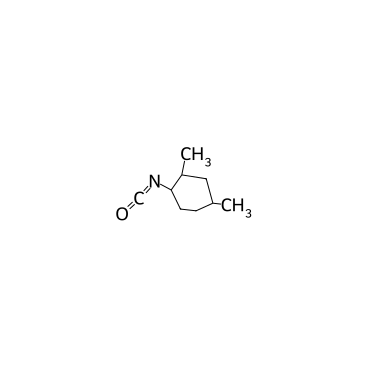 CC1CCC(N=C=O)C(C)C1